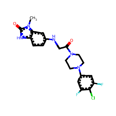 Cn1c(=O)[nH]c2ccc(NCC(=O)N3CCN(c4cc(F)c(Cl)c(F)c4)CC3)cc21